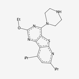 CCOc1nc(N2CCNCC2)c2sc3nc(C(C)C)cc(C(C)C)c3c2n1